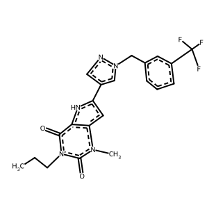 CCCn1c(=O)c2[nH]c(-c3cnn(Cc4cccc(C(F)(F)F)c4)c3)cc2n(C)c1=O